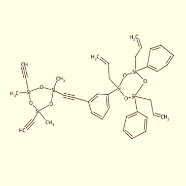 C#C[Si]1(C)O[Si](C)(C#C)O[Si](C)(C#Cc2cccc([Si]3(CC=C)O[Si](CC=C)(c4ccccc4)O[Si](CC=C)(c4ccccc4)O3)c2)O1